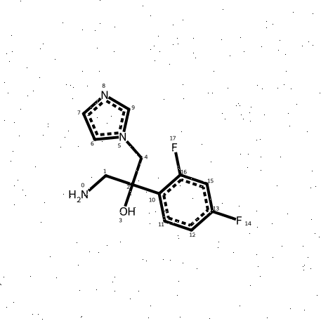 NCC(O)(Cn1ccnc1)c1ccc(F)cc1F